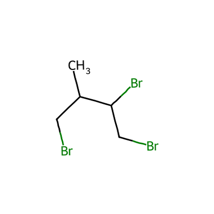 CC(CBr)C(Br)CBr